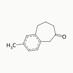 Cc1ccc2c(c1)CCCC(=O)C2